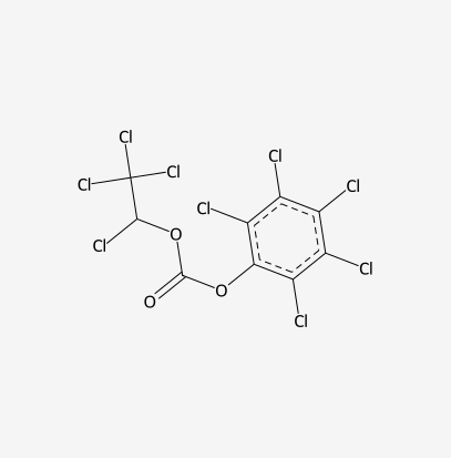 O=C(Oc1c(Cl)c(Cl)c(Cl)c(Cl)c1Cl)OC(Cl)C(Cl)(Cl)Cl